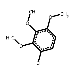 COc1[c]cc(Cl)c(OC)c1OC